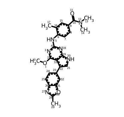 COc1nc(Nc2ccc(C(=O)N(C)C)cc2C)nc2[nH]cc(-c3ccc4nc(C)oc4c3)c12